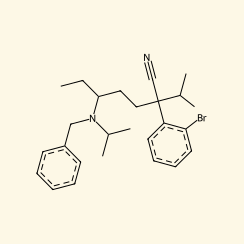 CCC(CCC(C#N)(c1ccccc1Br)C(C)C)N(Cc1ccccc1)C(C)C